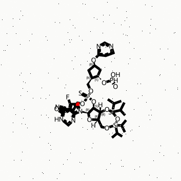 CC(C)[Si]1(C(C)C)OC[C@H]2O[C@@H](n3cc(F)c4c(=O)[nH]cnc43)[C@@H](OP(=S)(OCCC#N)OC[C@H]3C[C@@H](Oc4ccncn4)C[C@@H]3O[PH](=O)O)[C@@H]2O[Si](C(C)C)(C(C)C)O1